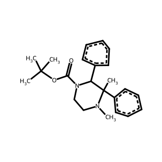 CN1CCN(C(=O)OC(C)(C)C)C(c2ccccc2)C1(C)c1ccccc1